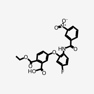 CCOC(=O)c1ccc(Oc2cc(F)ccc2NC(=O)c2cccc([N+](=O)[O-])c2)cc1C(=O)O